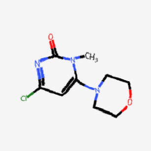 Cn1c(N2CCOCC2)cc(Cl)nc1=O